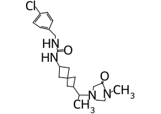 CC(C1CC2(CC(NC(=O)NCc3ccc(Cl)cc3)C2)C1)N1CCN(C)C(=O)C1